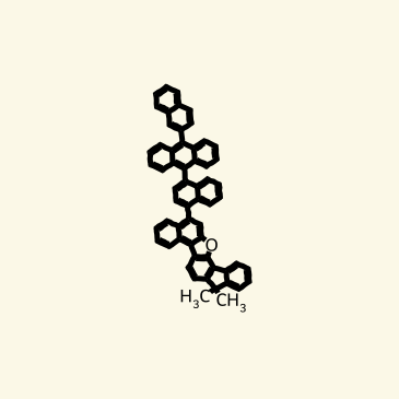 CC1(C)c2ccccc2-c2c1ccc1c2oc2cc(-c3ccc(-c4c5ccccc5c(-c5ccc6ccccc6c5)c5ccccc45)c4ccccc34)c3ccccc3c21